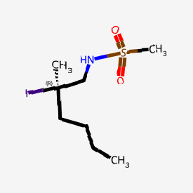 CCCC[C@@](C)(I)CNS(C)(=O)=O